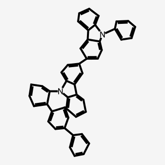 c1ccc(-c2ccc(-c3ccccc3-n3c4ccccc4c4cc(-c5ccc6c(c5)c5ccccc5n6-c5ccccc5)ccc43)cc2)cc1